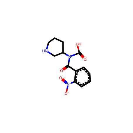 O=C(O)N(C(=O)c1ccccc1[N+](=O)[O-])C1CCCNC1